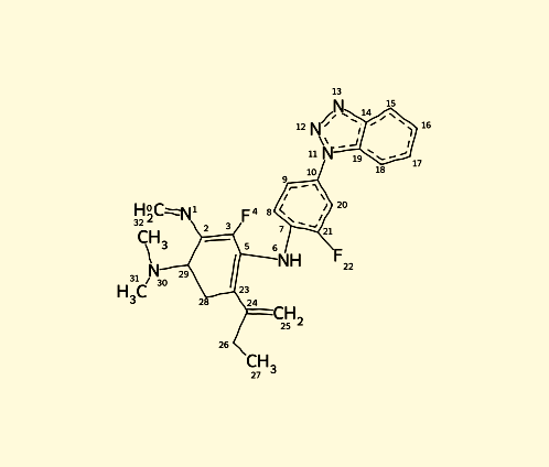 C=NC1=C(F)C(Nc2ccc(-n3nnc4ccccc43)cc2F)=C(C(=C)CC)CC1N(C)C